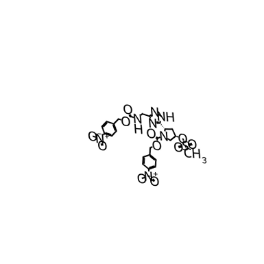 CS(=O)(=O)O[C@@H]1C[C@@H](c2nc(CNC(=O)OCc3ccc([N+](=O)[O-])cc3)n[nH]2)N(C(=O)OCc2ccc([N+](=O)[O-])cc2)C1